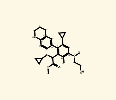 COC(=O)C(OC1CC1)c1c(C)c(N(C)CCO)cc(C2CC2)c1-c1ccc2c(c1)CCCO2